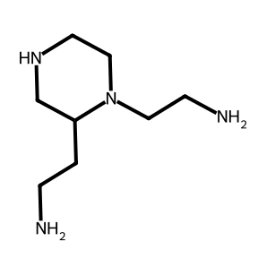 NCCC1CNCCN1CCN